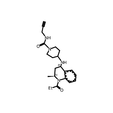 C#CCNC(=O)N1CCC(N[C@@H]2C[C@H](C)N(C(=O)CC)c3ccccc32)CC1